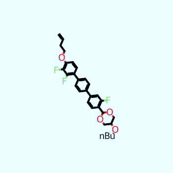 C=CCCOc1ccc(-c2ccc(-c3ccc(C4OCC(OCCCC)CO4)c(F)c3)cc2)c(F)c1F